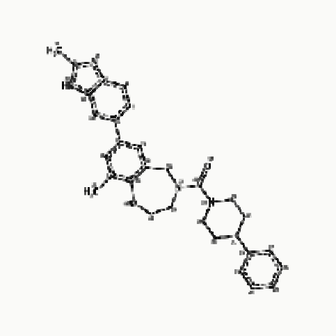 Cc1nc2ccc(-c3cc(C)c4c(c3)CN(C(=O)N3CCC(c5ccccc5)CC3)CCO4)cc2[nH]1